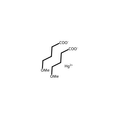 COCCCC(=O)[O-].COCCCC(=O)[O-].[Hg+2]